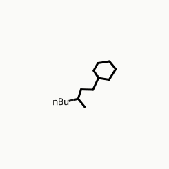 CCCCC(C)CC[C]1CCCCC1